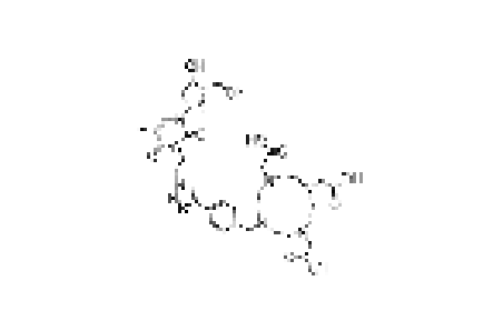 Cc1cn(C2CC(O)[C@@H](CO)S2)c(=O)n(CCn2cc(-c3ccc(CN4CCN(CC(=O)O)CCN(CC(=O)O)CCN(CC(=O)O)CC4)cc3)nn2)c1=O